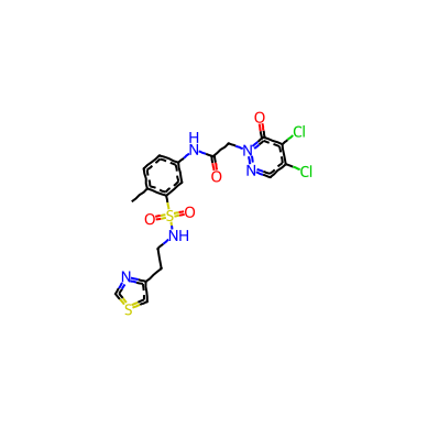 Cc1ccc(NC(=O)Cn2ncc(Cl)c(Cl)c2=O)cc1S(=O)(=O)NCCc1cscn1